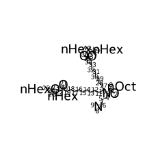 CCCCCCCCC(=O)N(CCCN(C)C)C(CCCCCCCCCC(=O)COC(CCCCCC)CCCCCC)CCCCCCCCC(=O)OC(CCCCCC)CCCCCC